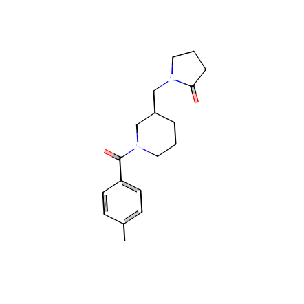 Cc1ccc(C(=O)N2CCCC(CN3CCCC3=O)C2)cc1